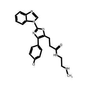 CNCCNC(=O)CCc1oc(-n2cnc3ccccc32)nc1-c1ccc(Cl)cc1